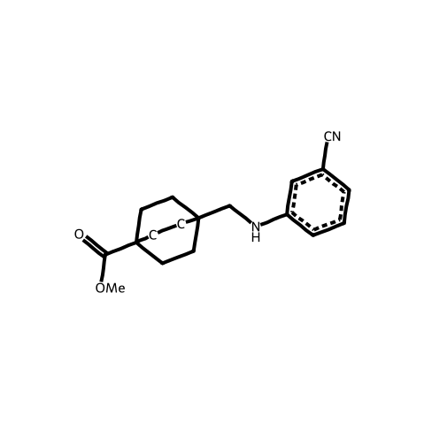 COC(=O)C12CCC(CNc3cccc(C#N)c3)(CC1)CC2